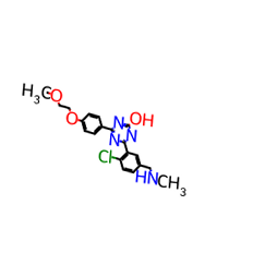 CNCc1ccc(Cl)c(-c2nc(O)nc(-c3ccc(OCCOC)cc3)n2)c1